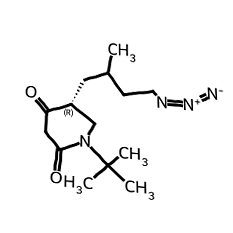 CC(CCN=[N+]=[N-])C[C@@H]1CN(C(C)(C)C)C(=O)CC1=O